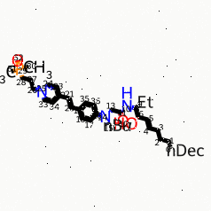 CCCCCCCCCCCCC/C=C/C(O)C(CC)NC(=O)CN(CCCC)c1ccc(C=Cc2cc[n+](CCCP(C)(C)=O)cc2)cc1